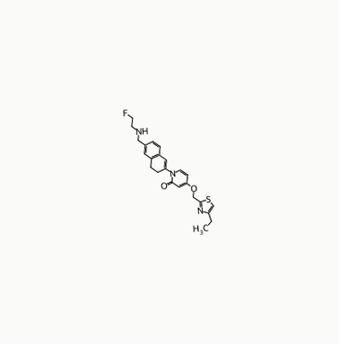 CCc1csc(COc2ccn(C3=Cc4ccc(CNCCF)cc4CC3)c(=O)c2)n1